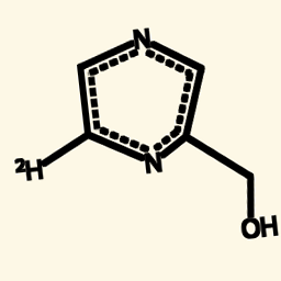 [2H]c1cncc(CO)n1